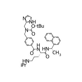 CC(C)NCCC[C@H](NC(=O)c1ccc(CN(Cc2ncc[nH]2)C(=O)OC(C)(C)C)cc1)C(=O)N[C@@H](C)c1cccc2ccccc12